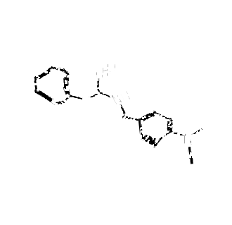 CN(C)c1ccc(CNC(C=O)Sc2cc[c]cc2)cc1